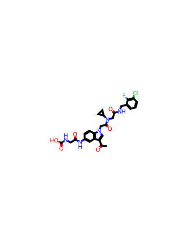 CC(=O)c1cn(CC(=O)N(CC(=O)NCc2cccc(Cl)c2F)C2CC2)c2ccc(NC(=O)CNC(=O)O)cc12